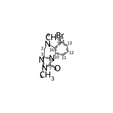 CN1Cc2nn(C)c(=O)n2-c2cccc(Br)c21